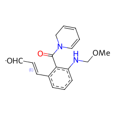 COCNc1cccc(/C=C/[C]=O)c1C(=O)N1C=CC=CC1